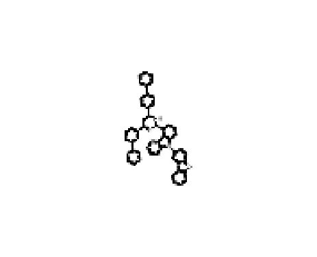 C1=C(c2ccc(-c3ccccc3)cc2)NC(c2cccc3c2c2ccccc2n3-c2ccc3oc4ccccc4c3c2)N=C1c1cccc(-c2ccccc2)c1